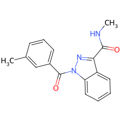 CNC(=O)c1nn(C(=O)c2cccc(C)c2)c2ccccc12